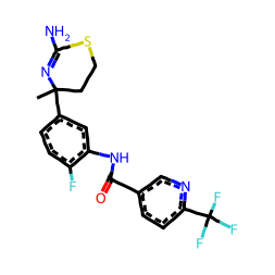 CC1(c2ccc(F)c(NC(=O)c3ccc(C(F)(F)F)nc3)c2)CCSC(N)=N1